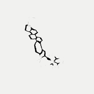 CC(C)[Si](C#Cc1cc2c3ccc4c(ccc5c4ccc4c5ccn4C)c3ccc2n1C)(C(C)C)C(C)C